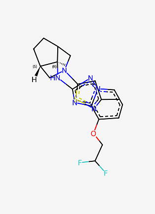 Cc1cc(N2CC3CC[C@@H](C2)[C@]3(C)Nc2nc3c(OCC(F)F)cccn3n2)sn1